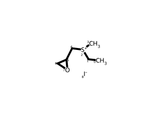 CC[S+](C)CC1CO1.[I-]